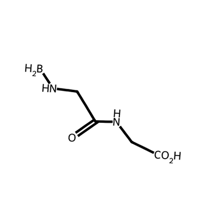 BNCC(=O)NCC(=O)O